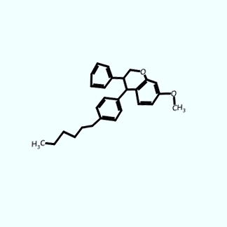 CCCCCCc1ccc(C2c3ccc(OC)cc3OCC2c2ccccc2)cc1